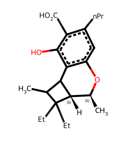 CCCc1cc2c(c(O)c1C(=O)O)C1C(C)C(CC)(CC)[C@H]1[C@H](C)O2